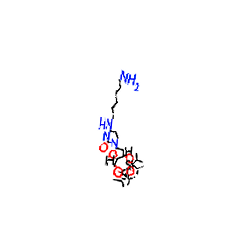 CC(C)[Si]1(C(C)C)OC[C@H]2O[C@@H](n3ccc(NCCCCCCN)nc3=O)C[C@@H]2O[Si](C(C)C)(C(C)C)O1